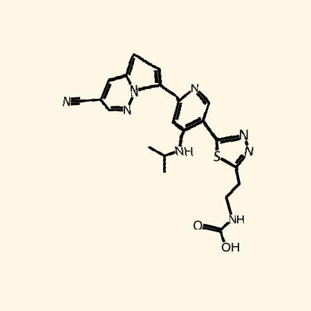 CC(C)Nc1cc(-c2ccc3cc(C#N)cnn23)ncc1-c1nnc(CCNC(=O)O)s1